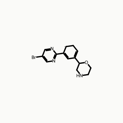 Brc1cnc(C2=CC(C3CNCCO3)=CC[CH]2)nc1